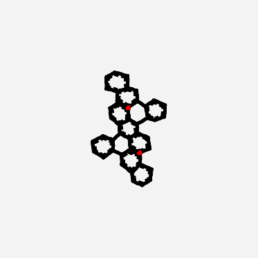 c1ccc(-c2c3ccccc3c(-c3ccccc3-c3ccc4ccccc4c3)c3ccccc23)c(-c2ccc3ccccc3c2)c1